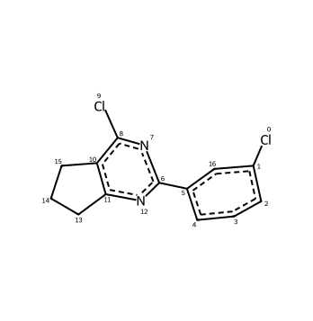 Clc1cccc(-c2nc(Cl)c3c(n2)CCC3)c1